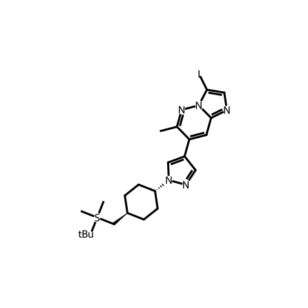 Cc1nn2c(I)cnc2cc1-c1cnn([C@H]2CC[C@H](CS(C)(C)C(C)(C)C)CC2)c1